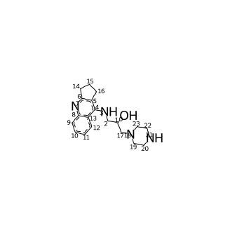 OC(CNc1c2c(nc3ccccc13)CCC2)CN1CCNCC1